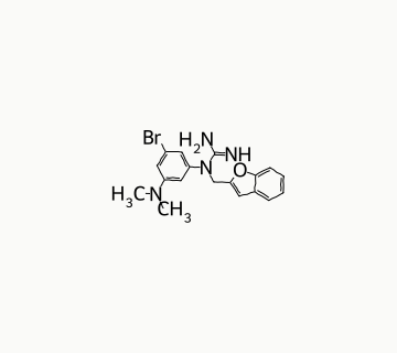 CN(C)c1cc(Br)cc(N(Cc2cc3ccccc3o2)C(=N)N)c1